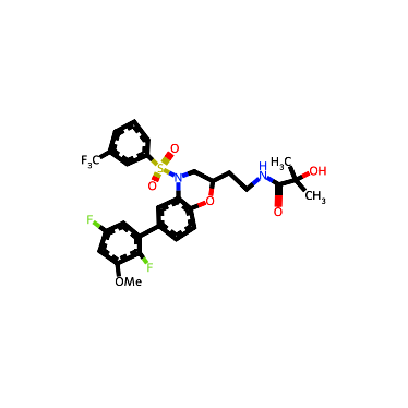 COc1cc(F)cc(-c2ccc3c(c2)N(S(=O)(=O)c2cccc(C(F)(F)F)c2)CC(CCNC(=O)C(C)(C)O)O3)c1F